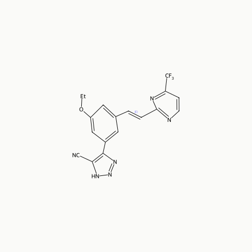 CCOc1cc(/C=C/c2nccc(C(F)(F)F)n2)cc(-c2nn[nH]c2C#N)c1